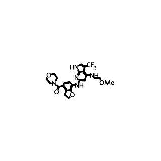 COCCNc1cc(Nc2ccc(C(=O)N3CCOCC3)c3c2OCC3)nc2[nH]cc(C(F)(F)F)c12